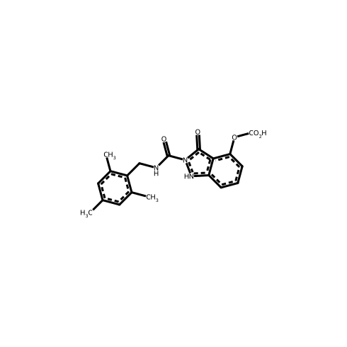 Cc1cc(C)c(CNC(=O)n2[nH]c3cccc(OC(=O)O)c3c2=O)c(C)c1